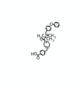 CN(Cc1ccc(Oc2ccccc2)cc1)C(C)(C)C(=O)N1CCCN(Cc2ccc(C(=O)O)cc2)CC1